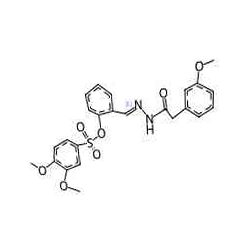 COc1cccc(CC(=O)N/N=C/c2ccccc2OS(=O)(=O)c2ccc(OC)c(OC)c2)c1